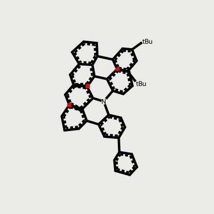 CC(C)(C)c1cc(-c2cccc3cccc(-c4ccccc4N(c4ccccc4)c4ccc(-c5ccccc5)cc4-c4ccccc4)c23)cc(C(C)(C)C)c1